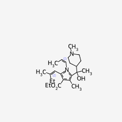 C/C=C\n1c(/C=C(/C)CC)c(C(=O)OCC)c(C)c1C(C)(O)C1CCN(C)CC1